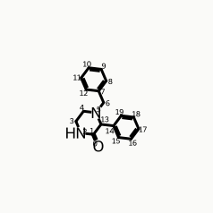 O=C1NCCN(Cc2ccccc2)C1c1ccccc1